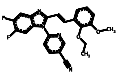 CCOc1c(C=Cc2nc3cc(F)c(F)cc3n2-c2ccc(C#N)cn2)cccc1OC